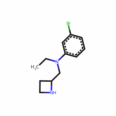 CCN(CC1CCN1)c1cccc(Br)c1